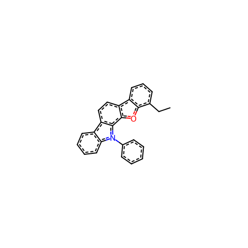 CCc1cccc2c1oc1c2ccc2c3ccccc3n(-c3ccccc3)c21